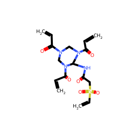 C=CC(=O)N1CN(C(=O)C=C)C(NC(=O)CS(=O)(=O)C=C)N(C(=O)C=C)C1